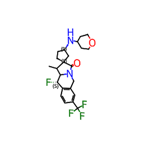 CC1C2[C@@H](F)c3ccc(C(F)(F)F)cc3CN2C(=O)[C@]12CC[C@@H](NC1CCOCC1)C2